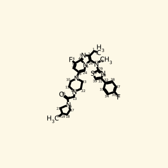 CCc1nc2c(F)cc(N3CCN(CC(=O)N4CCC(C)C4)CC3)cn2c1N(C)c1nc(-c2ccc(F)cc2)cs1